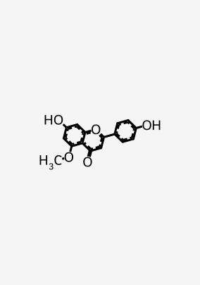 COc1cc(O)cc2oc(-c3ccc(O)cc3)cc(=O)c12